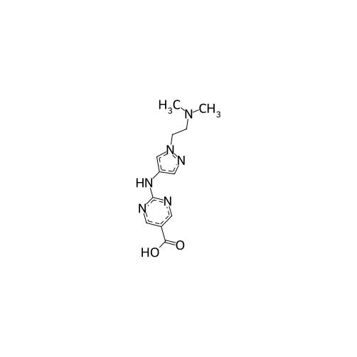 CN(C)CCn1cc(Nc2ncc(C(=O)O)cn2)cn1